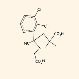 CC(C)(CC(C#N)(CCC(=O)O)c1cccc(Cl)c1Cl)C(=O)O